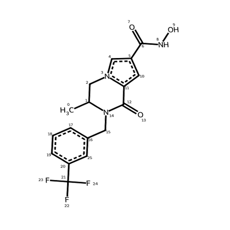 CC1Cn2cc(C(=O)NO)cc2C(=O)N1Cc1cccc(C(F)(F)F)c1